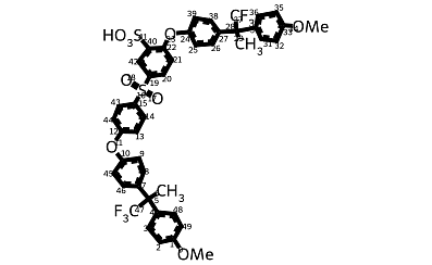 COc1ccc(C(C)(c2ccc(Oc3ccc(S(=O)(=O)c4ccc(Oc5ccc(C(C)(c6ccc(OC)cc6)C(F)(F)F)cc5)c(S(=O)(=O)O)c4)cc3)cc2)C(F)(F)F)cc1